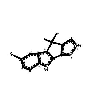 CC1(C)c2c[nH]nc2-c2[nH]c3ccc(Br)cc3c21